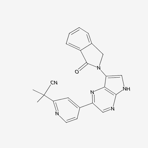 CC(C)(C#N)c1cc(-c2cnc3[nH]cc(N4Cc5ccccc5C4=O)c3n2)ccn1